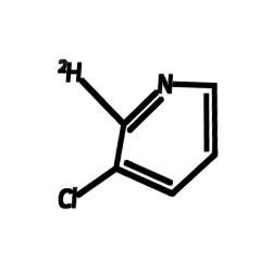 [2H]c1ncccc1Cl